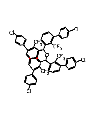 FC(F)(F)c1c(-c2ccc(Cl)cc2)cccc1C(OC(c1cccc(-c2ccc(Cl)cc2)c1C(F)(F)F)c1cccc(-c2ccc(Cl)cc2)c1C(F)(F)F)c1cccc(-c2ccc(Cl)cc2)c1C(F)(F)F